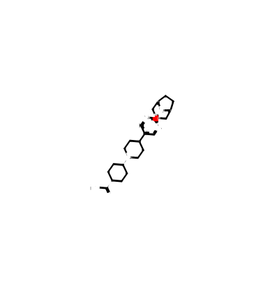 CC(C)C(=O)[C@H]1CC[C@@H](N2CCC(c3cnc(N4C5CCC4CN(C)C5)nc3)CC2)CC1